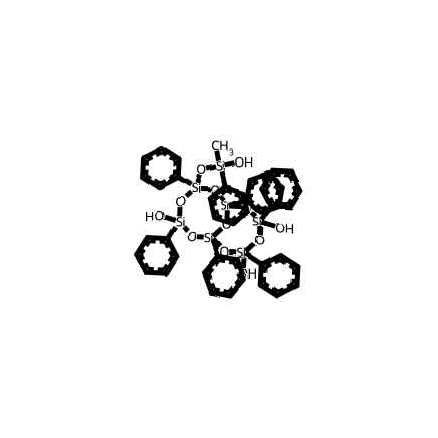 C[Si](O)(O[Si]1(c2ccccc2)O[Si](O)(c2ccccc2)O[Si]2(c3ccccc3)O[Si](O)(c3ccccc3)O[Si](O)(c3ccccc3)O[Si](c3ccccc3)(O1)O2)c1ccccc1